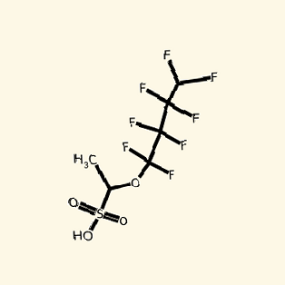 CC(OC(F)(F)C(F)(F)C(F)(F)C(F)F)S(=O)(=O)O